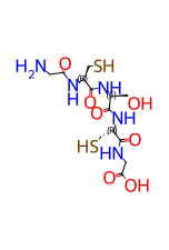 NCC(=O)N[C@@H](CS)C(=O)N[C@@H](CO)C(=O)N[C@@H](CS)C(=O)NCC(=O)O